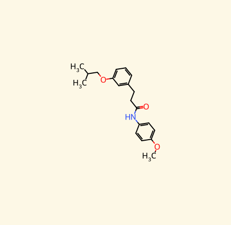 COc1ccc(NC(=O)CCc2cccc(OCC(C)C)c2)cc1